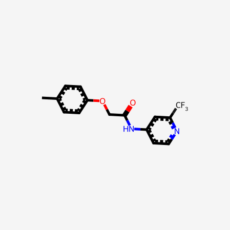 Cc1ccc(OCC(=O)Nc2ccnc(C(F)(F)F)c2)cc1